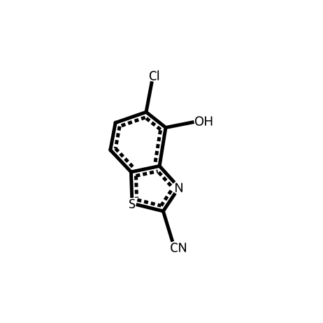 N#Cc1nc2c(O)c(Cl)ccc2s1